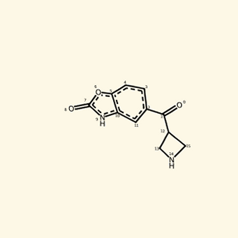 O=C(c1ccc2oc(=O)[nH]c2c1)C1CNC1